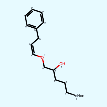 CCCCCCCCCCCCC(O)CO/C=C\Cc1ccccc1